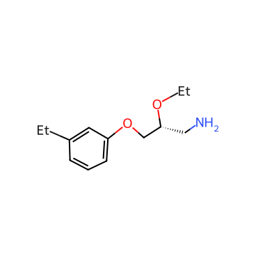 CCO[C@H](CN)COc1cccc(CC)c1